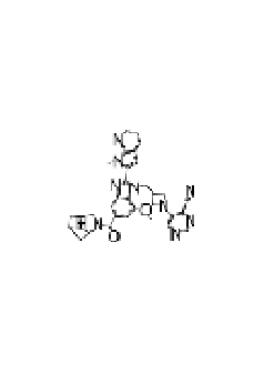 COc1cc(C(=O)N2CC3CC4CC2[C@H]43)cc2nc(-c3cc4cccnc4n3C)n(CC3CN(c4cncnc4C#N)C3)c12